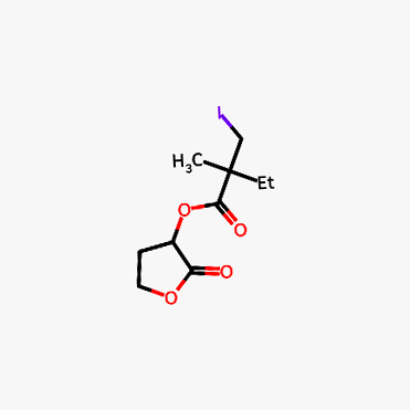 CCC(C)(CI)C(=O)OC1CCOC1=O